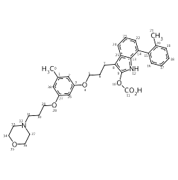 Cc1cc(OCCCc2c(OC(=O)O)[nH]c3c(-c4ccccc4C)cccc23)cc(OCCCN2CCOCC2)c1